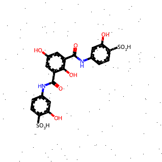 O=C(Nc1ccc(S(=O)(=O)O)c(O)c1)c1cc(O)cc(C(=O)Nc2ccc(S(=O)(=O)O)c(O)c2)c1O